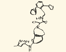 Cc1cc(Nc2ccc3c(n2)CN(C(=O)C(=O)NCc2c(Cl)cccc2Cl)CC3)[nH]n1